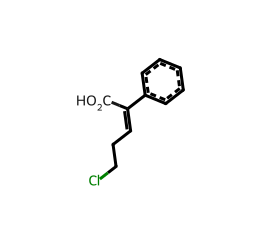 O=C(O)C(=CCCCl)c1ccccc1